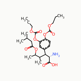 CCCOC(=O)Oc1ccc(C(C(C)C(C)OC(=O)CC(C)C)[C@H](N)C(=O)O)cc1OC(=O)OCCC